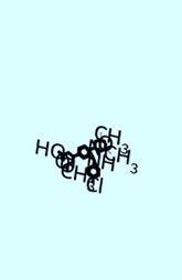 COCC(CC(=O)O)c1ccc(N2C[C@@H](C)O[C@@H](C)C2)c(Nc2ccc(Cl)cc2)c1